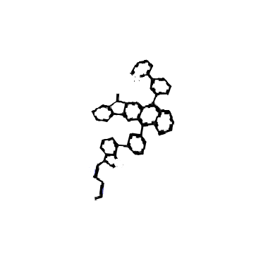 C/C=C\C=C/c1coc2c(-c3cccc(-c4c5ccccc5c(-c5cccc(-c6ccccn6)c5)c5cc6c(cc45)-c4ccccc4C6C)c3)cccc12